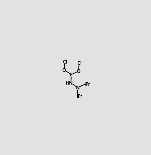 CC(C)N(NP(OCl)OCl)C(C)C